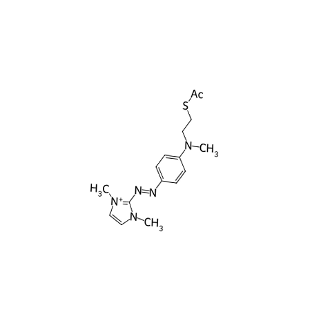 CC(=O)SCCN(C)c1ccc(/N=N/c2n(C)cc[n+]2C)cc1